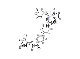 CC1=C(/C(=N\C(=N)N2CCC(c3ccc(C(=O)N(C)Cc4nn(C)cc4C)cc3)CC2)NC2CCOCC2)[S+]([O-])CC1